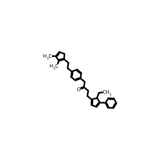 CCC1C(CCC(=O)Cc2ccc(CCC3=C(C)C(C)=CC3)cc2)=CC=C1c1ccccc1